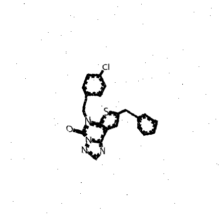 O=c1n(Cc2ccc(Cl)cc2)c2sc(Cc3ccccc3)cc2c2ncnn12